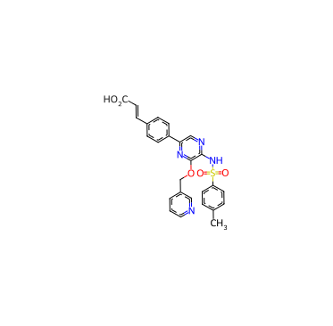 Cc1ccc(S(=O)(=O)Nc2ncc(-c3ccc(/C=C/C(=O)O)cc3)nc2OCc2cccnc2)cc1